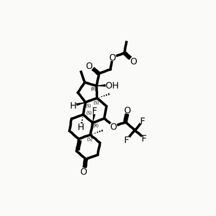 CC(=O)OCC(=O)[C@@]1(O)C(C)C[C@H]2[C@@H]3CCC4=CC(=O)CC[C@]4(C)[C@@]3(F)C(OC(=O)C(F)(F)F)C[C@@]21C